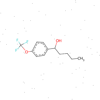 CCCCC(O)c1ccc(OC(F)(F)F)cc1